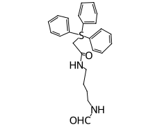 O=CNCCCCNC(=O)CS(c1ccccc1)(c1ccccc1)c1ccccc1